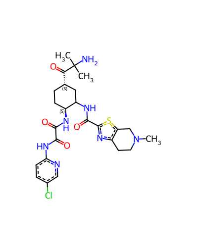 CN1CCc2nc(C(=O)NC3C[C@@H](C(=O)C(C)(C)N)CC[C@@H]3NC(=O)C(=O)Nc3ccc(Cl)cn3)sc2C1